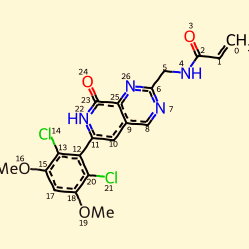 C=CC(=O)NCc1ncc2cc(-c3c(Cl)c(OC)cc(OC)c3Cl)[nH]c(=O)c2n1